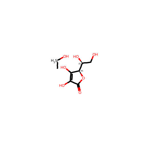 C[SiH2]O.O=C1O[C@H]([C@@H](O)CO)C(O)=C1O